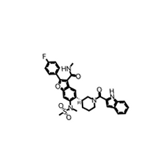 CNC(=O)c1c(-c2ccc(F)cc2)oc2cc(N(C)S(C)(=O)=O)c([C@H]3CCCN(C(=O)c4cc5ccccc5[nH]4)C3)cc12